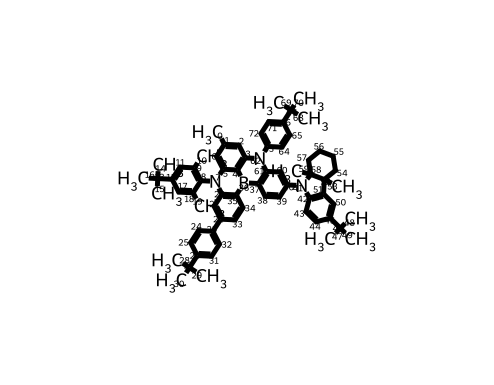 Cc1cc2c3c(c1)N(c1c(C)cc(C(C)(C)C)cc1C)c1cc(-c4ccc(C(C)(C)C)cc4)ccc1B3c1ccc(N3c4ccc(C(C)(C)C)cc4C4(C)CCCCC34C)cc1N2c1ccc(C(C)(C)C)cc1